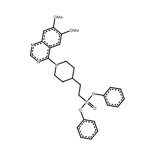 COc1cc2ncnc(N3CCC(CCP(=O)(Oc4ccccc4)Oc4ccccc4)CC3)c2cc1OC